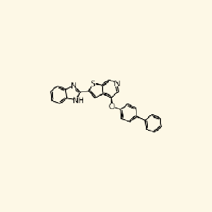 c1ccc(-c2ccc(Oc3cncc4sc(-c5nc6ccccc6[nH]5)cc34)cc2)cc1